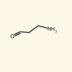 NCCC=O